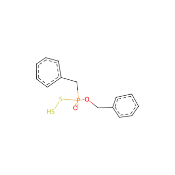 O=P(Cc1ccccc1)(OCc1ccccc1)SS